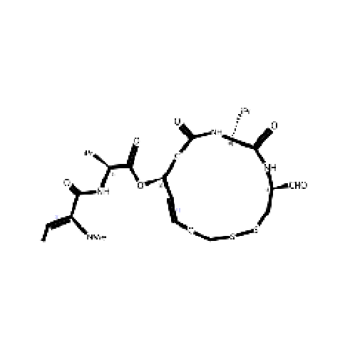 C/C=C(\NC)C(=O)N[C@H](C(=O)O[C@@H]1/C=C/CCSSC[C@H](C=O)NC(=O)[C@@H](C(C)C)NC(=O)C1)C(C)C